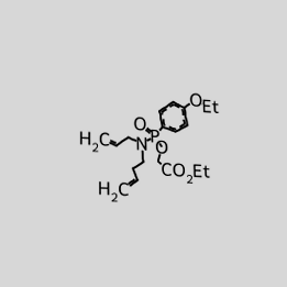 C=CCCN(CC=C)P(=O)(OCC(=O)OCC)c1ccc(OCC)cc1